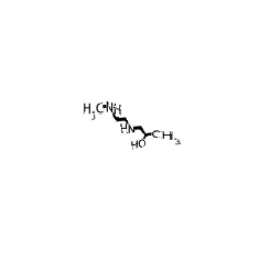 CNCCNCC(C)O